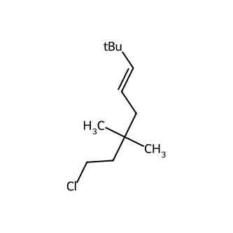 CC(C)(C)C=CCC(C)(C)CCCl